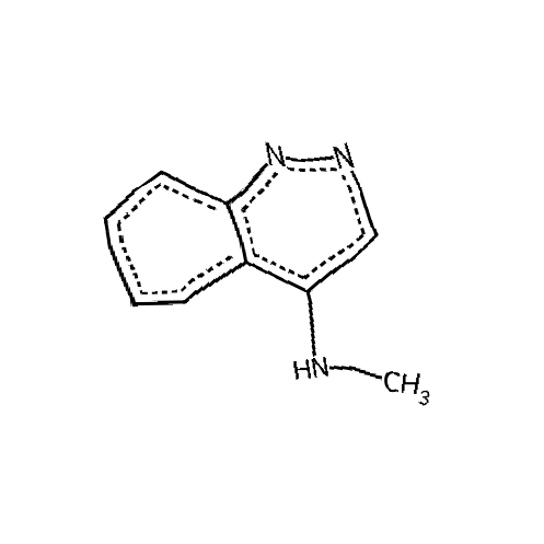 CNc1cnnc2ccccc12